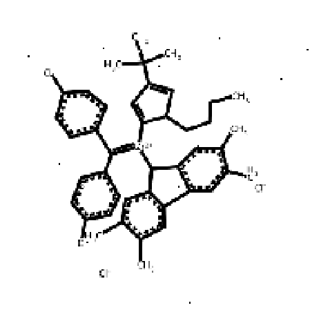 CCCCC1C=C(C(C)(C)C)C=[C]1[Zr+2](=[C](c1ccc(Cl)cc1)c1ccc(Cl)cc1)[CH]1c2cc(C)c(C)cc2-c2cc(C)c(C)cc21.[Cl-].[Cl-]